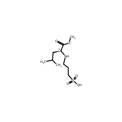 COC(=O)[C@H](CC(C)C)NCCCS(=O)(=O)O